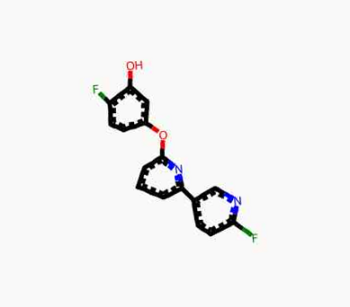 Oc1cc(Oc2cccc(-c3ccc(F)nc3)n2)ccc1F